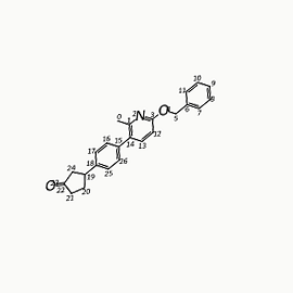 Cc1nc(OCc2ccccc2)ccc1-c1ccc(C2CCC(=O)C2)cc1